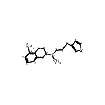 CN(CCCc1ccsc1)C1CCc2c(N)cccc2C1